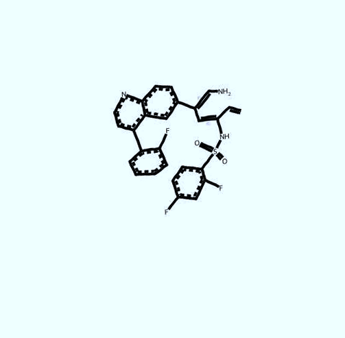 C=C/C(=C\C(=C/N)c1ccc2nccc(-c3ccccc3F)c2c1)NS(=O)(=O)c1ccc(F)cc1F